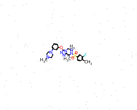 CCn1c(Oc2cccc(N3CCN(C)CC3)c2)nnc1[C@@H](C)NS(=O)(=O)c1ccc(C)c(F)c1